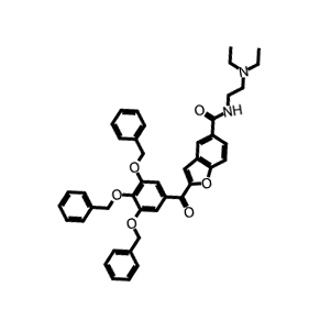 CCN(CC)CCNC(=O)c1ccc2oc(C(=O)c3cc(OCc4ccccc4)c(OCc4ccccc4)c(OCc4ccccc4)c3)cc2c1